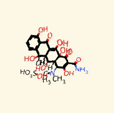 CN(C)[C@@H]1C(O)=C(C(N)=O)C(=O)[C@@]2(O)C(O)=C3C(=O)c4c(O)cccc4[C@@](C)(O)[C@H]3[C@H](O)[C@@H]12.O=S(=O)(O)O